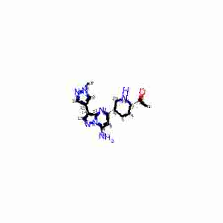 CC(=O)[C@@H]1CC[C@H](c2cc(N)n3ncc(-c4cnn(C)c4)c3n2)CN1